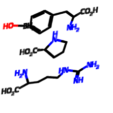 BO.N=C(N)NCCCC(N)C(=O)O.NC(Cc1ccccc1)C(=O)O.O=C(O)[C@@H]1CCCN1